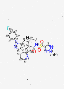 CCCn1ncc(S(=O)(=O)N2CC[C@@H]3Cc4c(cnn4-c4ccc(F)cc4)C[C@]3(C(=O)c3ccccn3)C2)n1